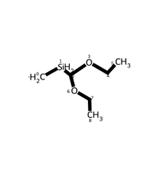 [CH2][SiH2]C(OCC)OCC